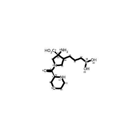 N[C@@]1(C(=O)O)CN(C(=O)[C@@H]2COCCN2)CC1CCCB(O)O